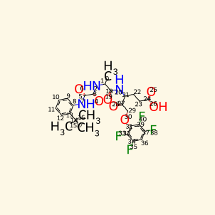 CC(NC(=O)C(=O)Nc1ccccc1C(C)(C)C)C(=O)NC(CCC(=O)O)C(=O)COc1c(F)c(F)cc(F)c1F